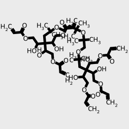 C=CC(=O)OCC(O)C(CC(C)(C)OCCC(C)(C)OC(C)(C)COC(C)(C)CC(C(O)COC(=O)C=C)(C(O)COC(=O)C=C)C(O)COC(=O)C=C)(C(O)COC(=O)C=C)C(O)COC(=O)C=C